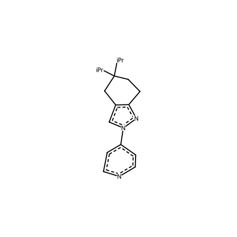 CC(C)C1(C(C)C)CCc2nn(-c3ccncc3)cc2C1